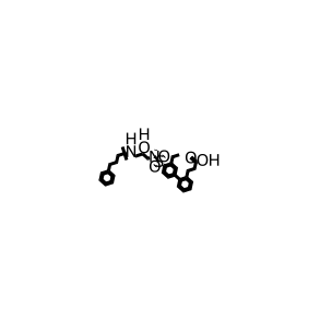 CCc1cc(-c2ccccc2CCC(=O)O)ccc1S(=O)(=O)N(C)CC(O)CNC(C)(C)CCCc1ccccc1